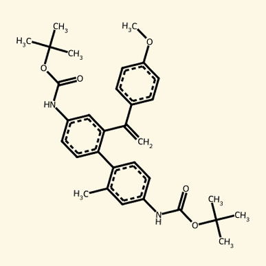 C=C(c1ccc(OC)cc1)c1cc(NC(=O)OC(C)(C)C)ccc1-c1ccc(NC(=O)OC(C)(C)C)cc1C